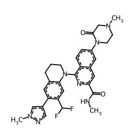 CNC(=O)c1cc2cc(N3CCN(C)CC3=O)ccc2c(N2CCCc3cc(-c4cnn(C)c4)c(C(F)F)cc32)n1